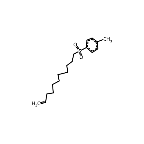 C=CCCCCCCCCCS(=O)(=O)c1ccc(C)cc1